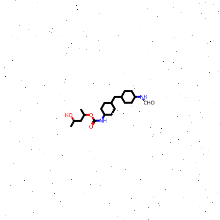 CC(O)CC(C)OC(=O)NC1CCC(CC2CCC(NC=O)CC2)CC1